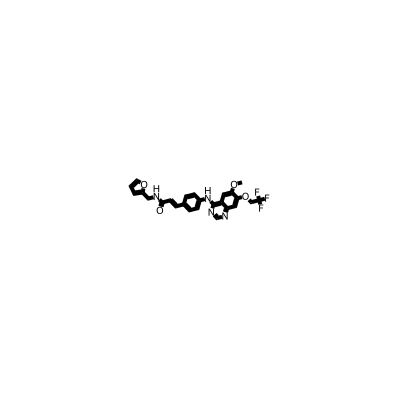 COc1cc2c(Nc3ccc(C=CC(=O)NCc4ccco4)cc3)ncnc2cc1OCC(F)(F)F